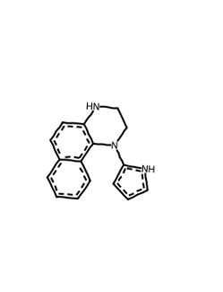 c1c[nH]c(N2CCNc3ccc4ccccc4c32)c1